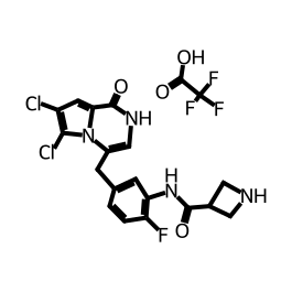 O=C(Nc1cc(Cc2c[nH]c(=O)c3cc(Cl)c(Cl)n23)ccc1F)C1CNC1.O=C(O)C(F)(F)F